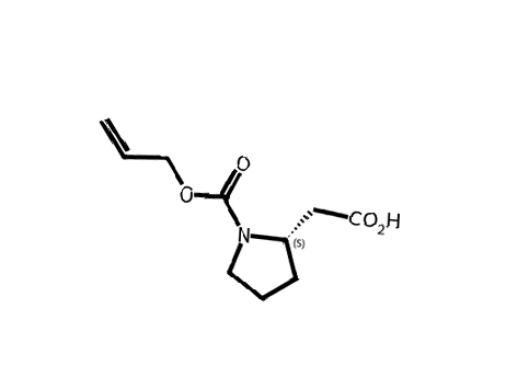 C=CCOC(=O)N1CCC[C@H]1CC(=O)O